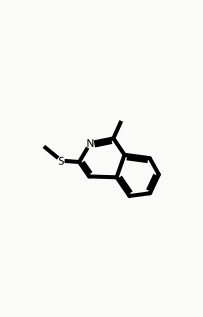 CSc1cc2ccccc2c(C)n1